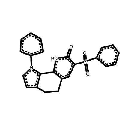 O=c1[nH]c2c(cc1S(=O)(=O)c1ccccc1)CCc1ccn(-c3ccccc3)c1-2